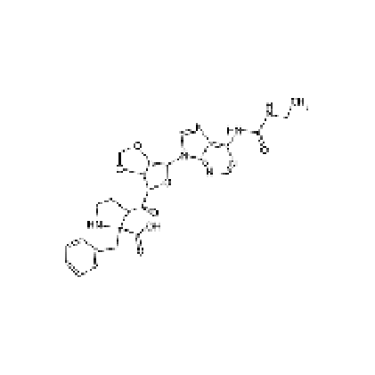 CCNC(=O)Nc1ncnc2c1ncn2C1=C2OCOC2C(C(=O)C2CCNC2(Cc2ccccc2)C(=O)O)O1